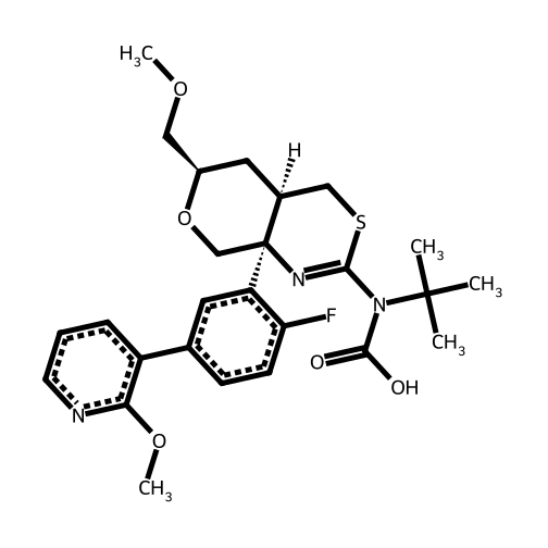 COC[C@H]1C[C@H]2CSC(N(C(=O)O)C(C)(C)C)=N[C@@]2(c2cc(-c3cccnc3OC)ccc2F)CO1